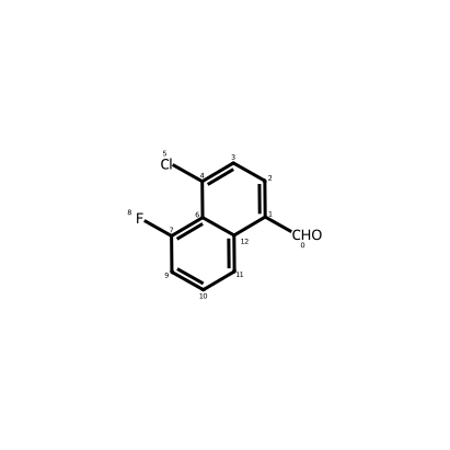 O=Cc1ccc(Cl)c2c(F)cccc12